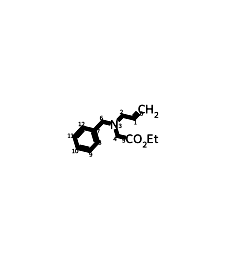 C=CCN(CC(=O)OCC)Cc1ccccc1